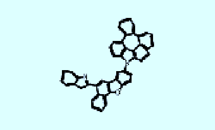 c1ccc2c(c1)CC(c1cc3c4cc(-n5c6cccc7c6c6c8c(cccc8ccc65)-c5ccccc5-7)ccc4oc3c3ccccc13)=N2